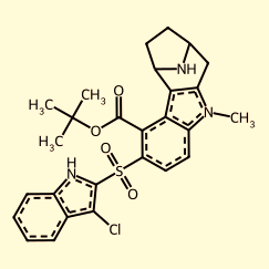 Cn1c2c(c3c(C(=O)OC(C)(C)C)c(S(=O)(=O)c4[nH]c5ccccc5c4Cl)ccc31)C1CCC(C2)N1